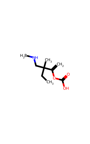 BNCC(C)(CC)C(=C)OC(=O)O